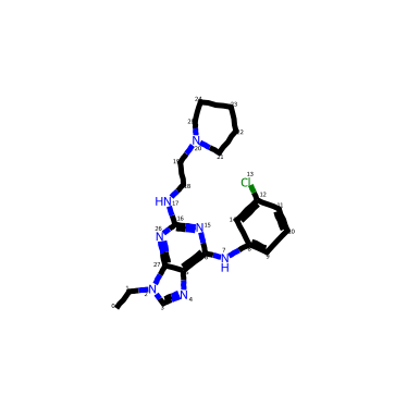 CCn1cnc2c(Nc3cccc(Cl)c3)nc(NCCN3CCCCC3)nc21